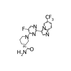 NC(=O)[C@@H]1CCCN(c2nc(-c3cnc4ccc(C(F)(F)F)cn34)ncc2F)C1